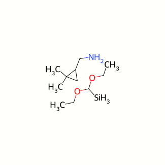 CC1(C)CC1CN.CCOC([SiH3])OCC